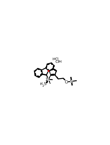 C[Si](C)(C)OCCC1=[C]([Zr]([CH3])([CH3])(=[SiH2])[CH]2c3ccccc3-c3ccccc32)CC=C1.Cl.Cl